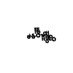 CC(=O)c1ccc(-c2ccc(CNC(=O)c3cc(=O)n(Cc4ccccc4)c(=O)[nH]3)c(OC(F)(F)F)c2)s1